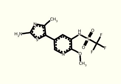 COc1ncc(-c2sc(N)nc2C)cc1NS(=O)(=O)C(F)(F)F